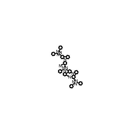 N#Cc1cc(-n2c3ccccc3c3cc(-c4nc(-c5ccccc5)nc(-c5ccccc5)n4)ccc32)ccc1-c1nc(-c2ccccc2)nc(-c2ccc(-n3c4ccccc4c4cc(-c5nc(-c6ccccc6)nc(-c6ccccc6)n5)ccc43)cc2-c2ccccc2C#N)n1